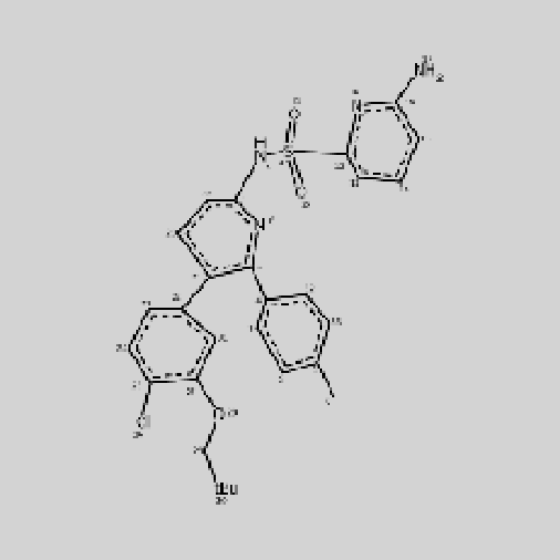 Cc1ccc(-c2nc(NS(=O)(=O)c3cccc(N)n3)ccc2-c2ccc(Cl)c(OCC(C)(C)C)c2)cc1